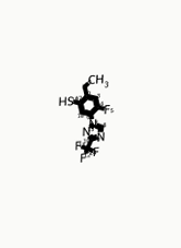 CCc1cc(F)c(-n2cnc(C(F)(F)F)n2)cc1S